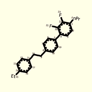 CCCc1ccc(-c2ccc(CCc3ccc(CC)cc3)cc2)c(F)c1F